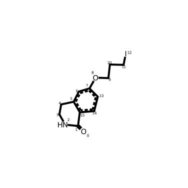 O=C1NCCc2cc(OCCCI)ccc21